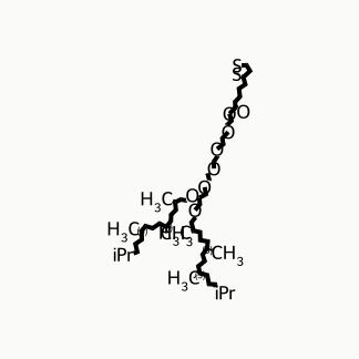 CC(C)CCC[C@H](C)CCC[C@H](C)CCCC(C)CCOCC(COCCOCCOCCOCCOC(=O)CCCCC1CCSS1)OCCC(C)CCC[C@@H](C)CCC[C@@H](C)CCCC(C)C